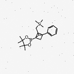 CC1(C)OB(C23CC(c4ccccc4)(C2)C3C[Si](C)(C)C)OC1(C)C